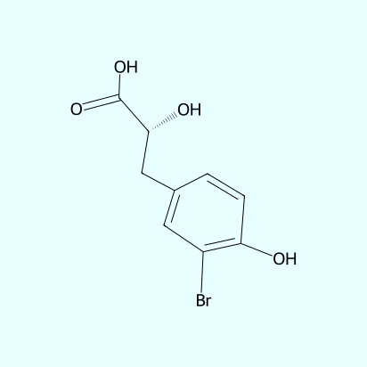 O=C(O)[C@H](O)Cc1ccc(O)c(Br)c1